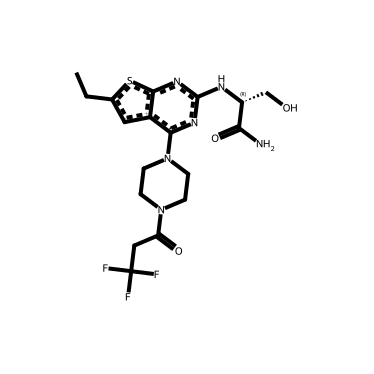 CCc1cc2c(N3CCN(C(=O)CC(F)(F)F)CC3)nc(N[C@H](CO)C(N)=O)nc2s1